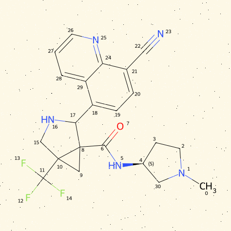 CN1CC[C@H](NC(=O)C23CC2(C(F)(F)F)CNC3c2ccc(C#N)c3ncccc23)C1